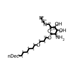 CCCCCCCCCCCCCCCCOCCCO[C@@H]1OC(CN=[N+]=[N-])[C@@H](O)[C@H](O)C1N